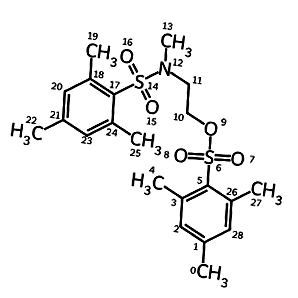 Cc1cc(C)c(S(=O)(=O)OCCN(C)S(=O)(=O)c2c(C)cc(C)cc2C)c(C)c1